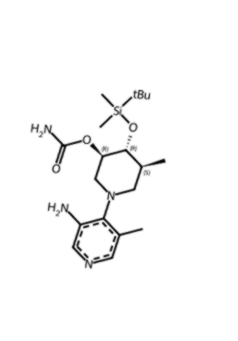 Cc1cncc(N)c1N1C[C@H](C)[C@@H](O[Si](C)(C)C(C)(C)C)[C@H](OC(N)=O)C1